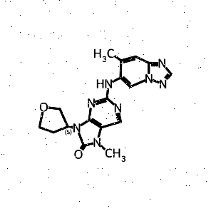 Cc1cc2ncnn2cc1Nc1ncc2c(n1)n([C@H]1CCOC1)c(=O)n2C